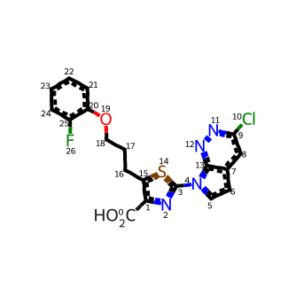 O=C(O)c1nc(-n2ccc3cc(Cl)nnc32)sc1CCCOc1ccccc1F